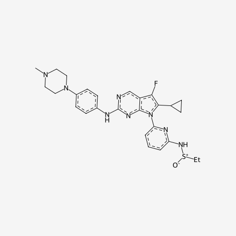 CC[S+]([O-])Nc1cccc(-n2c(C3CC3)c(F)c3cnc(Nc4ccc(N5CCN(C)CC5)cc4)nc32)n1